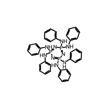 c1ccc(NP2(Nc3ccccc3)=NP(Nc3ccccc3)(Nc3ccccc3)=NP(Nc3ccccc3)(Nc3ccccc3)=N2)cc1